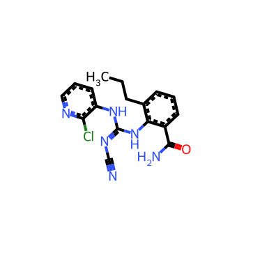 CCCc1cccc(C(N)=O)c1N/C(=N\C#N)Nc1cccnc1Cl